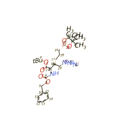 CC(C)(C)OC(=O)[C@@H](NC(=O)OCc1ccccc1)[C@H](CCCB1OC(C)(C)C(C)(C)O1)CN=[N+]=[N-]